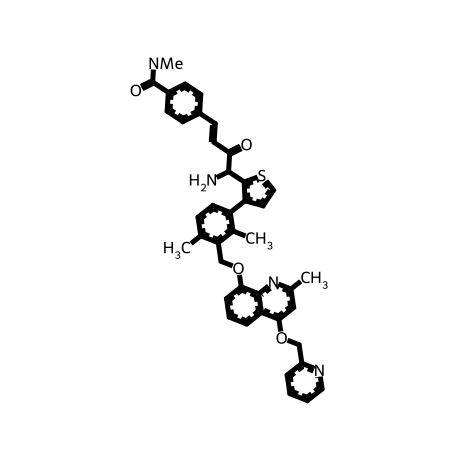 CNC(=O)c1ccc(/C=C/C(=O)C(N)c2sccc2-c2ccc(C)c(COc3cccc4c(OCc5ccccn5)cc(C)nc34)c2C)cc1